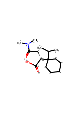 CC(C)C1([C@@H](CC(=O)N(C)C)C(=O)O)CCCCC1